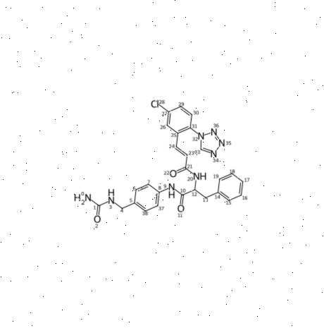 NC(=O)NCc1ccc(NC(=O)C(Cc2ccccc2)NC(=O)C=Cc2cc(Cl)ccc2-n2cnnn2)cc1